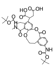 CNC(=O)c1c(CCC(=O)OC(C)(C)C)c(C(CC(=O)O)C(=O)O)cc2c1OCCCc1cc(NC(=O)OC(C)(C)C)ccc1C(=O)O2